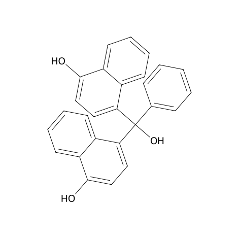 Oc1ccc(C(O)(c2ccccc2)c2ccc(O)c3ccccc23)c2ccccc12